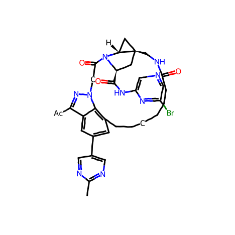 CC(=O)c1nn2c3c(cc(-c4cnc(C)nc4)cc13)CCCCCCC(=O)NC[C@@]13C[C@@H](C(=O)Nc4cncc(Br)n4)N(C(=O)C2)[C@@H]1C3